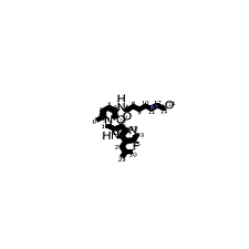 Cc1ccc(NC(=O)CCC/C=C/C=O)c(=O)n1Cc1cc2ncc(F)c(CC(C)C)c2[nH]1